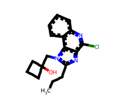 CCCc1nc2c(Cl)nc3ccccc3c2n1CC1(O)CCC1